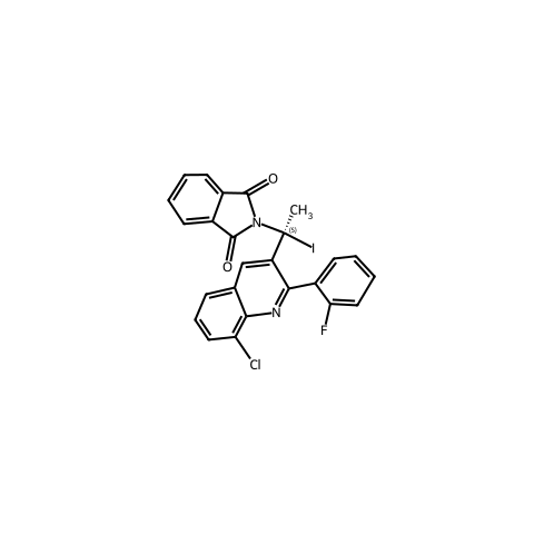 C[C@](I)(c1cc2cccc(Cl)c2nc1-c1ccccc1F)N1C(=O)c2ccccc2C1=O